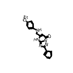 CCOc1ccc(NCc2cc(=O)n3nc(-c4ccccc4)nc3[nH]2)cc1